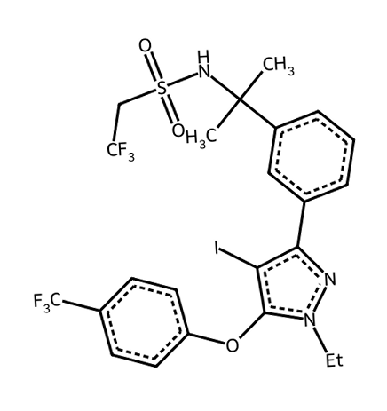 CCn1nc(-c2cccc(C(C)(C)NS(=O)(=O)CC(F)(F)F)c2)c(I)c1Oc1ccc(C(F)(F)F)cc1